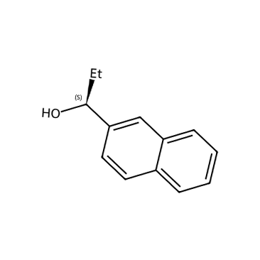 CC[C@H](O)c1ccc2ccccc2c1